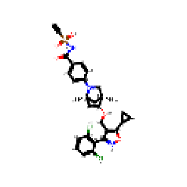 C#CS(=O)(=O)NC(=O)c1ccc(N2C[C@@H]3C[C@H]2C[C@H]3OCc2c(-c3c(Cl)cccc3Cl)noc2C2CC2)cc1